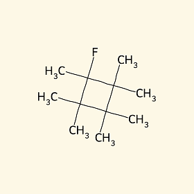 CC1(C)C(C)(C)C(C)(F)C1(C)C